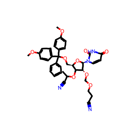 [CH2]C(C#N)OC1[C@@H](OCOCCC#N)[C@H](n2ccc(=O)[nH]c2=O)O[C@@H]1COC(c1ccccc1)(c1ccc(OC)cc1)c1ccc(OC)cc1